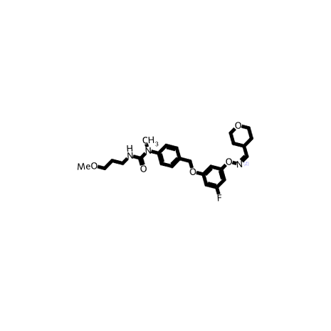 COCCCNC(=O)N(C)c1ccc(COc2cc(F)cc(O/N=C\C3CCOCC3)c2)cc1